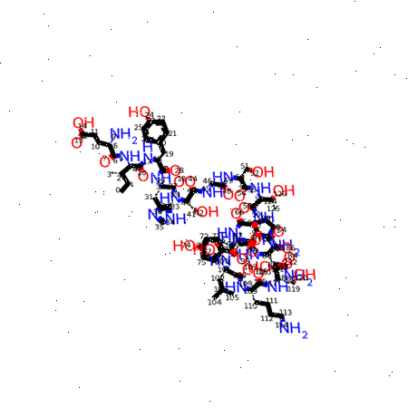 CC[C@H](C)[C@H](NC(=O)[C@@H](N)CCC(=O)O)C(=O)N[C@@H](Cc1ccc(O)cc1)C(=O)N[C@@H](Cc1c[nH]cn1)C(=O)N[C@@H](CO)C(=O)NCC(=O)N[C@@H](CO)C(=O)N[C@H](C(=O)N[C@@H](CC(N)=O)C(=O)N[C@@H](Cc1ccc(O)cc1)C(=O)N[C@@H](CC(N)=O)C(=O)N1CCC[C@H]1C(=O)N[C@@H](CO)C(=O)N[C@@H](CC(C)C)C(=O)N[C@@H](CCCCN)C(=O)N[C@@H](CO)C(=O)O)[C@@H](C)O